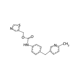 Cc1ccc(Cc2ccc(NC(=O)OCc3cncs3)cc2)cn1